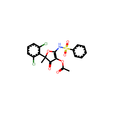 CC(=O)OC1=C(NS(=O)(=O)c2ccccc2)OC(C)(c2c(Cl)cccc2Cl)C1=O